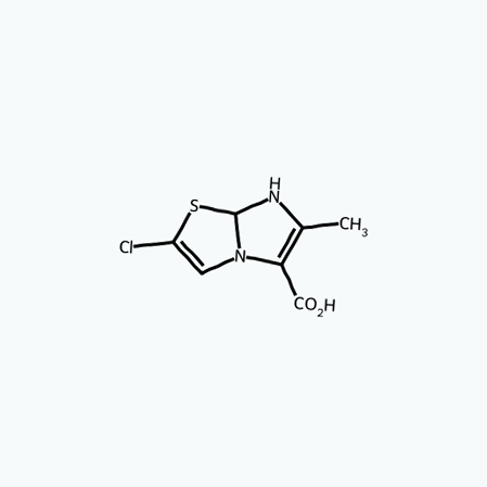 CC1=C(C(=O)O)N2C=C(Cl)SC2N1